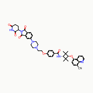 CC1(C)[C@H](NC(=O)c2ccc(OCCN3CCN(c4ccc5c(c4)C(=O)N(C4CCC(=O)NC4=O)C5=O)CC3)cc2)C(C)(C)[C@H]1Oc1ccc(C#N)c2ncccc12